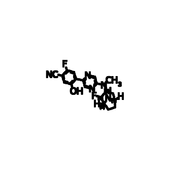 CN(c1cnc(-c2cc(F)c(C#N)cc2O)cn1)[C@H]1C[C@@H]2CC[C@@H](N2)[C@H]1F